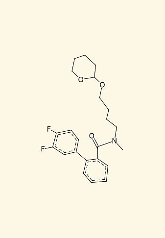 CN(CCCCOC1CCCCO1)C(=O)c1ccccc1-c1ccc(F)c(F)c1